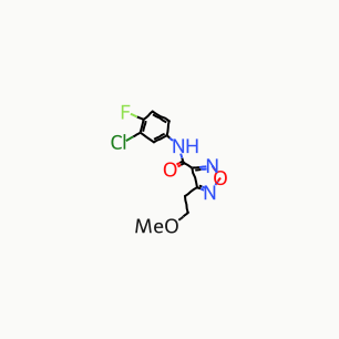 COCCc1nonc1C(=O)Nc1ccc(F)c(Cl)c1